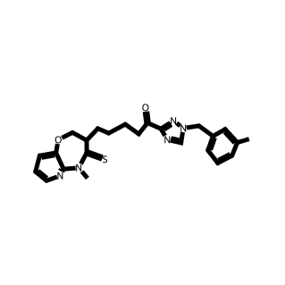 Cc1cccc(Cn2cnc(C(=O)CCCCC3COc4cccnc4N(C)C3=S)n2)c1